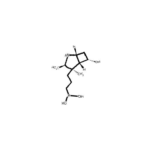 C[C@@]1(CCCB(O)O)[C@H]2[C@@H](O)C[C@H]2N[C@@H]1C(=O)O